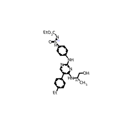 CCOC(=O)/N=[SH](=O)/c1ccc(Nc2ncc(-c3ccc(CC)cc3)c(N[C@H](C)CO)n2)cc1